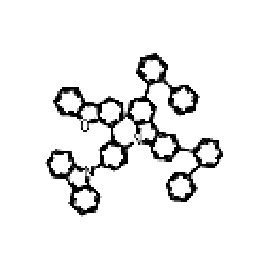 c1ccc(-c2ccccc2-c2ccc3c(c2)c2cc(-c4ccccc4-c4ccccc4)ccc2n3-c2ccc(-n3c4ccccc4c4ccccc43)cc2-c2cccc3c2oc2ccccc23)cc1